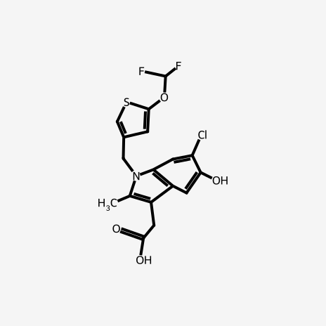 Cc1c(CC(=O)O)c2cc(O)c(Cl)cc2n1Cc1csc(OC(F)F)c1